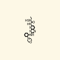 CCN(S)C(=O)Nc1ccc2ncc(Nc3ccccc3N3CCOCC3)nc2n1